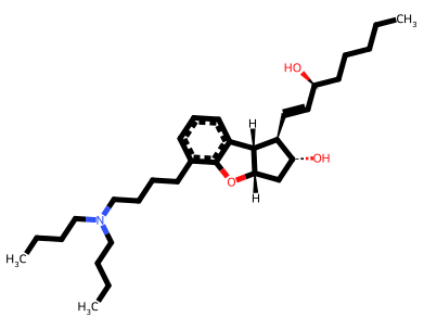 CCCCC[C@H](O)/C=C/[C@@H]1[C@H]2c3cccc(CCCCN(CCCC)CCCC)c3O[C@H]2C[C@H]1O